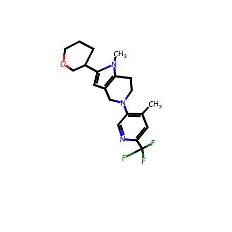 Cc1cc(C(F)(F)F)ncc1N1CCc2c(cc(C3CCCOC3)n2C)C1